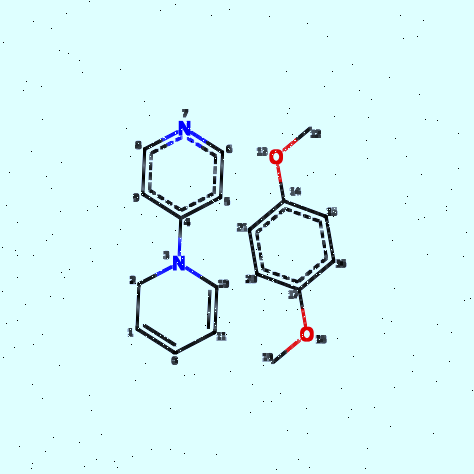 C1=CCN(c2ccncc2)C=C1.COc1ccc(OC)cc1